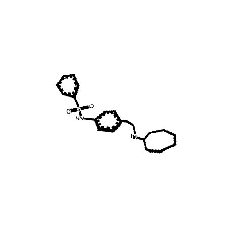 O=S(=O)(Nc1ccc(CNC2CCCCCC2)cc1)c1ccccc1